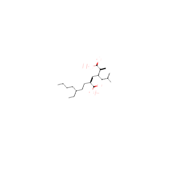 C=C(C(=O)O)C(C=C(CCC(CC)CCCC)C(=O)O)CC(C)C